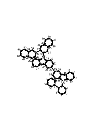 c1ccc(-c2ccccc2-n2c3ccccc3c3cc(-c4ccc5c(c4)c4ccccc4n5-c4cc5ccccc5cc4-c4ccc5ccccc5c4)ccc32)cc1